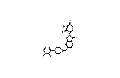 O=C1CCN(N2Cc3cc(CN4CCC(c5cccc(F)c5F)CC4)ccc3C2=O)C(=O)N1